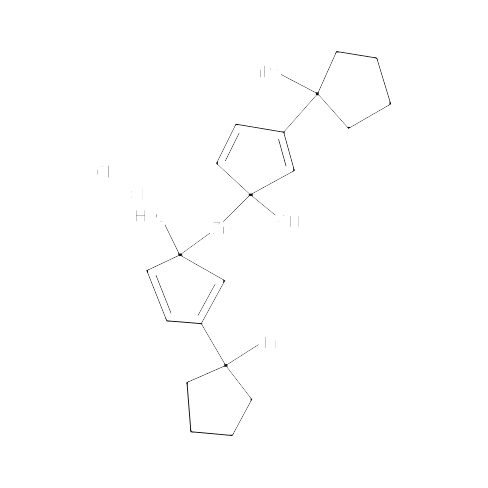 CC(C)C1(C2=C[C](C)([Zr+2][C]3(C)C=CC(C4(C(C)C)CCCC4)=C3)C=C2)CCCC1.[Cl-].[Cl-]